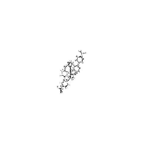 CC(=O)c1ccc(-c2ccc3c(c2)C2(c4ccccc4Oc4ccccc42)c2cc(-c4ccc(C(C)=O)cc4)ccc2-3)cc1